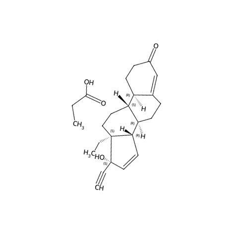 C#C[C@]1(O)C=C[C@H]2[C@@H]3CCC4=CC(=O)CC[C@@H]4[C@H]3CC[C@@]21CC.CCC(=O)O